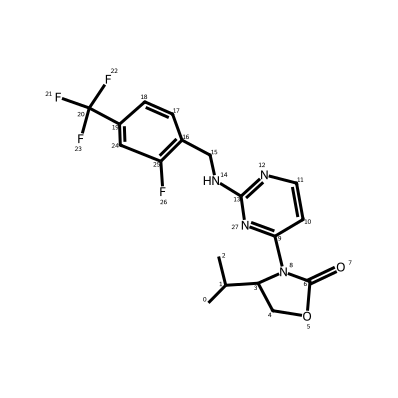 CC(C)C1COC(=O)N1c1ccnc(NCc2ccc(C(F)(F)F)cc2F)n1